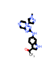 Cn1cc([N+]23C=CN=CC2=NC(Nc2ccc4c(C(=O)C(F)(F)F)c[nH]c4c2)=N3)cn1